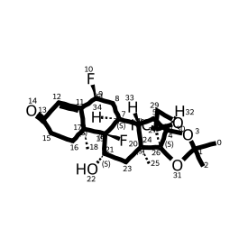 CC1(C)O[C@@H]2C[C@H]3[C@@H]4C[C@H](F)C5=CC(=O)CC[C@]5(C)[C@@]4(F)[C@@H](O)C[C@]3(C)[C@]2(C2(C#N)CO2)O1